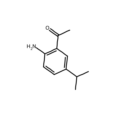 CC(=O)c1cc(C(C)C)ccc1N